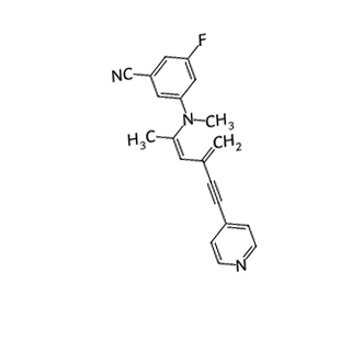 C=C(C#Cc1ccncc1)/C=C(/C)N(C)c1cc(F)cc(C#N)c1